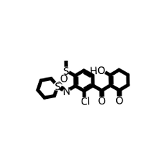 CSc1ccc(C(=O)C2=C(O)CCCC2=O)c(Cl)c1N=S1(=O)CCCCC1